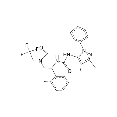 Cc1ccccc1C(CN(C=O)CC(F)(F)F)NC(=O)Nc1c(C)c(C)nn1-c1ccccc1